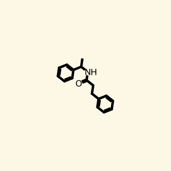 CC(NC(=O)CCc1ccccc1)c1ccccc1